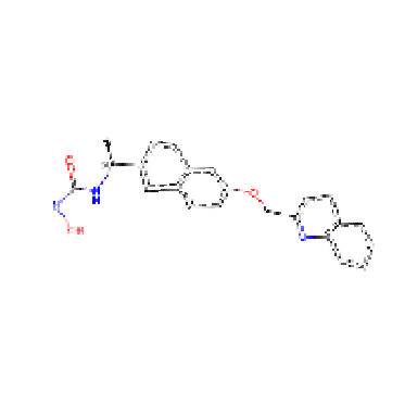 C[C@H](NC(=O)N(C)O)c1ccc2cc(OCc3ccc4ccccc4n3)ccc2c1